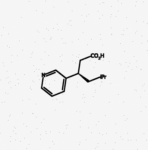 CC(C)C[C@H](CC(=O)O)c1cccnc1